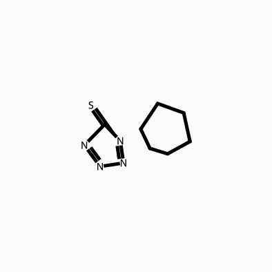 C1CCCCC1.S=C1N=NN=N1